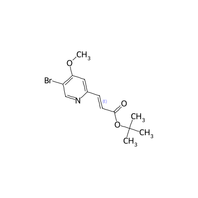 COc1cc(/C=C/C(=O)OC(C)(C)C)ncc1Br